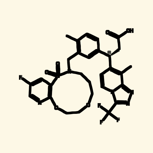 Cc1ccc([C@H](CC(=O)O)c2ccn3c(C(F)(F)F)nnc3c2C)cc1CN1CCCOCCOc2ncc(F)cc2S1(=O)=O